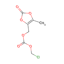 Cc1oc(=O)oc1COC(=O)OCCl